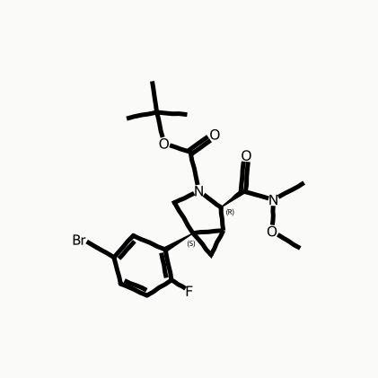 CON(C)C(=O)[C@H]1C2C[C@]2(c2cc(Br)ccc2F)CN1C(=O)OC(C)(C)C